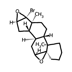 C[C@]12CC[C@H]3[C@@H](C[C@@H]4O[C@@]45CCCC[C@]35C)[C@@H]1C[C@H]1O[C@]12Br